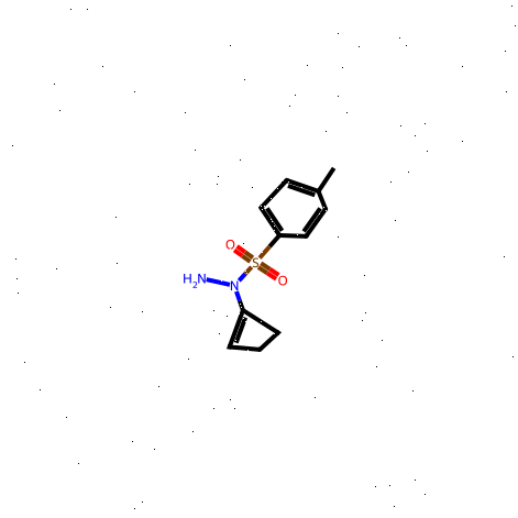 Cc1ccc(S(=O)(=O)N(N)C2=CCC2)cc1